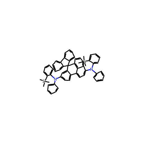 C[Si](C)(C)c1ccccc1N(c1ccccc1)c1ccc2c(c1)C1(c3ccccc3-c3ccccc31)c1cccc3c(N(c4ccccc4)c4ccccc4[Si](C)(C)C)ccc-2c13